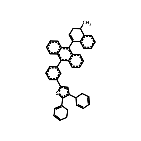 CC1CC=C(c2c3ccccc3c(-c3cccc(-c4cc(C5C=CC=CC5)c(C5=CC=CCC5)s4)c3)c3ccccc23)c2ccccc21